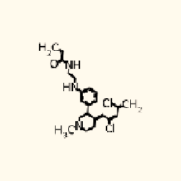 C=CC(=O)NCCNc1cccc(C2CN(C)CC/C2=C\C(Cl)=C/C(=C)Cl)c1